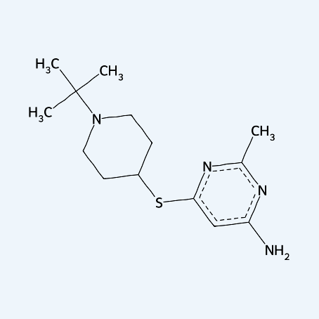 Cc1nc(N)cc(SC2CCN(C(C)(C)C)CC2)n1